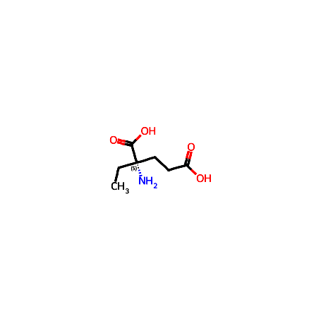 CC[C@](N)(CCC(=O)O)C(=O)O